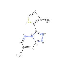 Cc1cnn2c(-c3sccc3C)nnc2c1